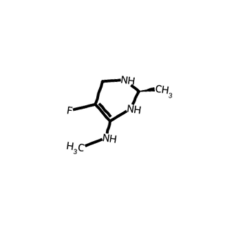 CNC1=C(F)CN[C@@H](C)N1